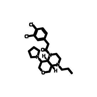 CCCN1CCN(C(=O)Cc2ccc(Cl)c(Cl)c2)[C@@H]2C(N3CCCC3)COC[C@H]21